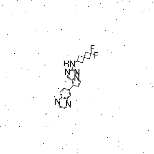 FC1(F)CC2(CC(Nc3ncc4c(-c5ccc6nccnc6c5)ccn4n3)C2)C1